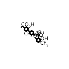 CC(C(=O)O)c1ccc(-c2ccc(OCc3ccc(C(F)(F)F)c(O)c3C(=O)OC(C)(C)C)cc2)c(C(F)(F)F)c1